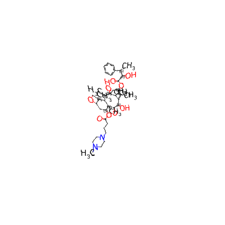 CC1=C2[C@@H](O)C(=O)[C@@]3(C)C([C@H](C)[C@](O)(C[C@@H]1OC(=O)[C@H](O)[C@@H](C)c1ccccc1)C2(C)C)[C@]1(C)COC1C[C@@H]3OC(=O)CCCN1CCN(C)CC1